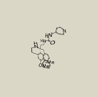 COc1cc2c(cc1OC)C(CCNC(=O)Nc1ccncc1)(Cc1ccc3ccccc3c1)NCC2